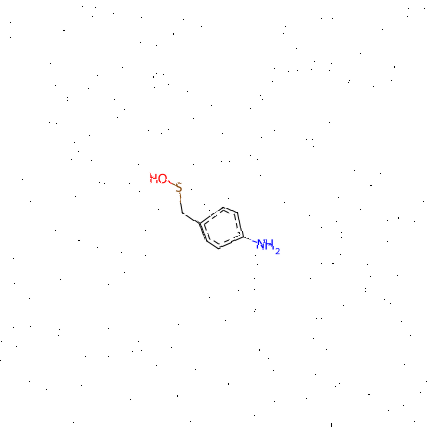 Nc1ccc(CSO)cc1